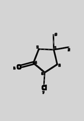 CC1(C)CC(=O)C(Cl)C1